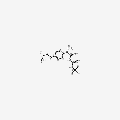 C[C@@H](O)COc1ccc(C(N)C(=O)OC(=O)OC(C)(C)C)cc1